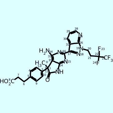 C[C@]1(c2ccc(CCC(=O)O)cc2)C(=O)Nc2nc(-c3nn(CCC(F)(F)C(F)(F)F)c4ncccc34)nc(N)c21